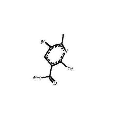 COC(=O)c1cc(Br)c(C)nc1O